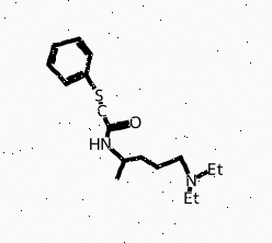 CCN(CC)CCCC(C)NC(=O)CSc1ccccc1